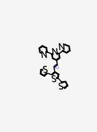 C(=C\c1cc(-c2cccs2)sc1-c1cccs1)/c1cc(-c2ccccn2)nc(-c2ccccn2)c1